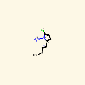 CC/C=C/c1ccc(Cl)n1N